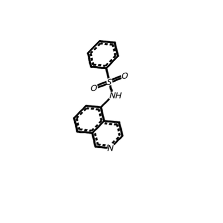 O=S(=O)(Nc1cccc2cnccc12)c1ccccc1